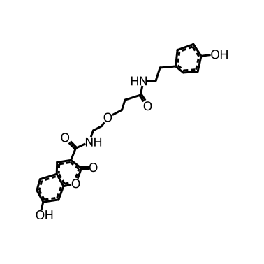 O=C(CCOCCNC(=O)c1cc2ccc(O)cc2oc1=O)NCCc1ccc(O)cc1